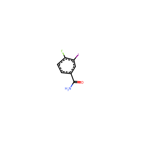 NC(=O)c1ccc(F)c(I)c1